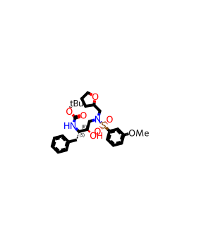 COc1cccc(S(=O)(=O)N(CC2CCCO2)C[C@@H](O)[C@H](Cc2ccccc2)NC(=O)OC(C)(C)C)c1